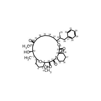 C[C@H]1C2CC[C@@H](C)[C@@](O)(O2)C(=O)C(=O)N2CCCC[C@H]2C(=O)OC(C(I)Cc2ccccc2)CCCCCC(=O)[C@@H](C)C1O